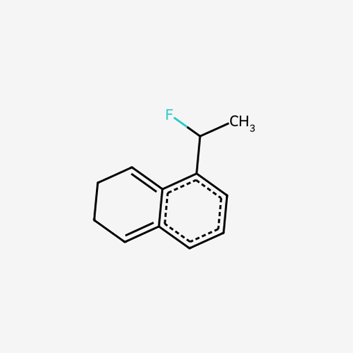 CC(F)c1cccc2c1=CCCC=2